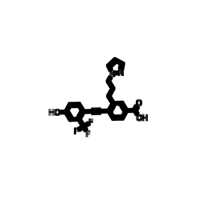 O=C(O)c1ccc(C#Cc2ccc(O)cc2C(F)(F)F)c(CCCn2cccn2)c1